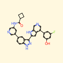 O=C(Nc1cncc(-c2ccc3[nH]nc(-c4cc5c(-c6cc(O)cc(F)c6)cncc5[nH]4)c3c2)c1)C1CCC1